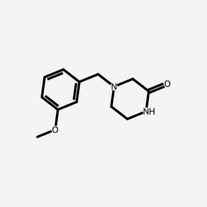 COc1cccc(CN2CCNC(=O)C2)c1